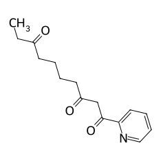 CCC(=O)CCCCC(=O)CC(=O)c1ccccn1